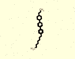 CCCCCCCCc1ccc(C2=CCC(C3CCC(CCC)CC3)C=C2)cc1